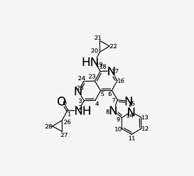 O=C(Nc1cc2c(-c3nc4ccccn4n3)cnc(NC3CC3)c2cn1)C1CC1